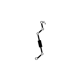 COOC#COCl